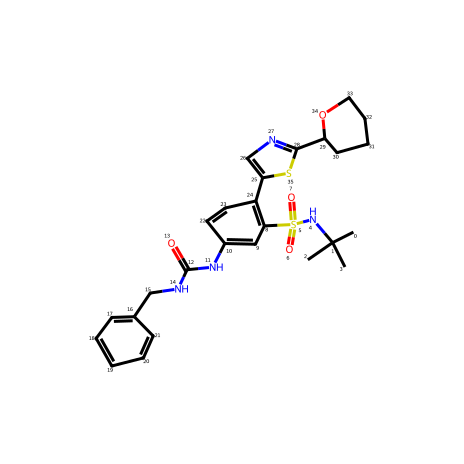 CC(C)(C)NS(=O)(=O)c1cc(NC(=O)NCc2ccccc2)ccc1-c1cnc(C2CCCCO2)s1